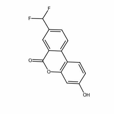 O=c1oc2cc(O)ccc2c2ccc(C(F)F)cc12